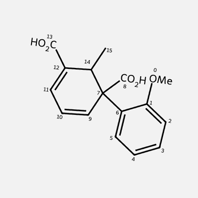 COc1ccccc1C1(C(=O)O)C=CC=C(C(=O)O)C1C